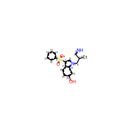 CCC(C=N)Cn1cc(S(=O)(=O)c2ccccc2)c2ccc(O)cc21